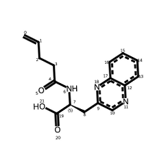 C=CCCC(=O)N[C@@H](Cc1cnc2ccccc2n1)C(=O)O